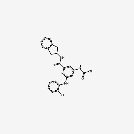 O=C(O)Nc1cc(Nc2ccccc2Cl)nc(C(=O)NC2Cc3ccccc3C2)c1